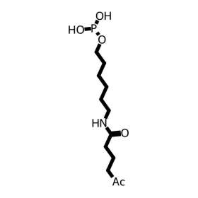 CC(=O)CCCC(=O)NCCCCCCOP(O)O